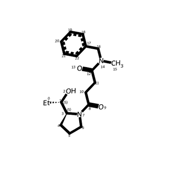 CC[C@H](O)[C@@H]1CCCN1C(=O)CCC(=O)N(C)Cc1ccccc1